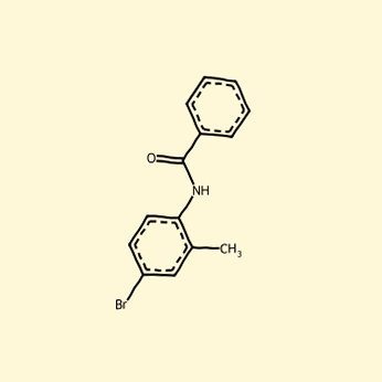 Cc1cc(Br)ccc1NC(=O)c1ccccc1